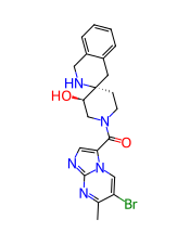 Cc1nc2ncc(C(=O)N3CC[C@]4(Cc5ccccc5CN4)[C@H](O)C3)n2cc1Br